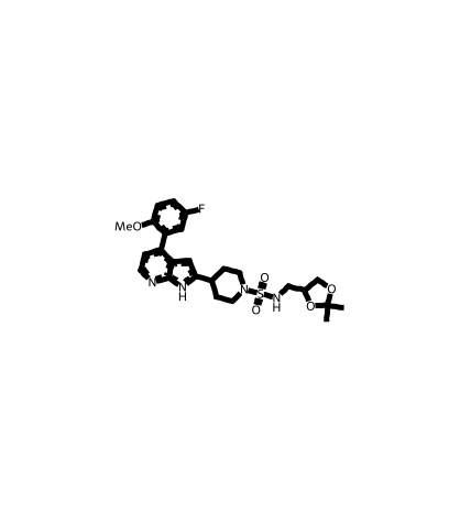 COc1ccc(F)cc1-c1ccnc2[nH]c(C3CCN(S(=O)(=O)NCC4COC(C)(C)O4)CC3)cc12